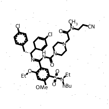 CCCCN(CC)S(=O)(=O)c1cc(/C(=N/[C@H](Cc2ccc(Cl)cc2)C2C=CC(Cl)=CC2)NC(=O)N2CCN(CC(=O)N(C)CCC#N)CC2)c(OCC)cc1OC